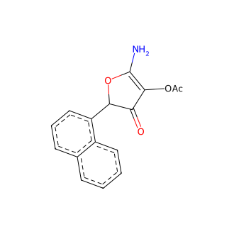 CC(=O)OC1=C(N)OC(c2cccc3ccccc23)C1=O